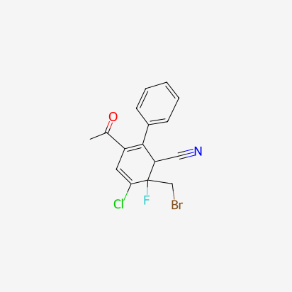 CC(=O)C1=C(c2ccccc2)C(C#N)C(F)(CBr)C(Cl)=C1